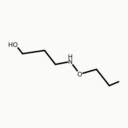 CCCONCCCO